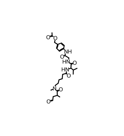 CC(=O)OCc1ccc(NC(=O)CNC(=O)C(NC(=O)CCCCCN(C)C(=O)C(C)CC=O)C(C)C)cc1